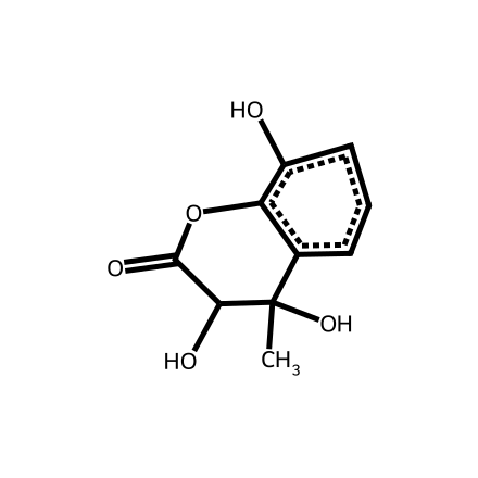 CC1(O)c2cccc(O)c2OC(=O)C1O